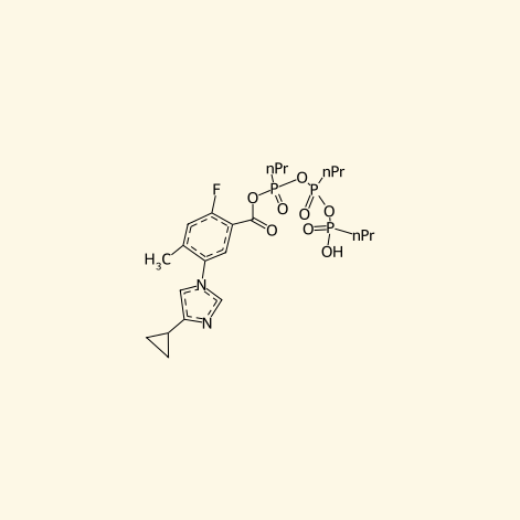 CCCP(=O)(O)OP(=O)(CCC)OP(=O)(CCC)OC(=O)c1cc(-n2cnc(C3CC3)c2)c(C)cc1F